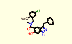 COc1ccc(Cl)cc1CN(C)C(=O)c1cc2c(Cc3ccccc3)n[nH]c2cc1O